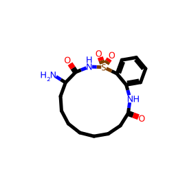 NC1CCCCCCCC(=O)Nc2ccccc2S(=O)(=O)NC1=O